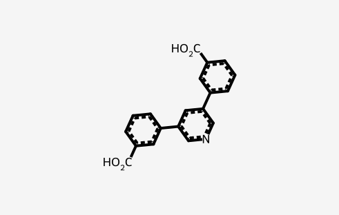 O=C(O)c1cccc(-c2cncc(-c3cccc(C(=O)O)c3)c2)c1